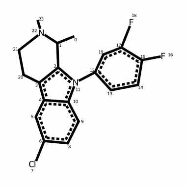 CC1c2c(c3cc(Cl)ccc3n2-c2ccc(F)c(F)c2)CCN1C